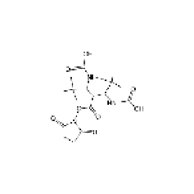 CC(C)(C)C(NC(=O)O)C(C(=O)ON1C(=O)CCC1=O)C(NC(=O)O)C(C)(C)C